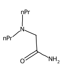 CCCN(CCC)CC(N)=O